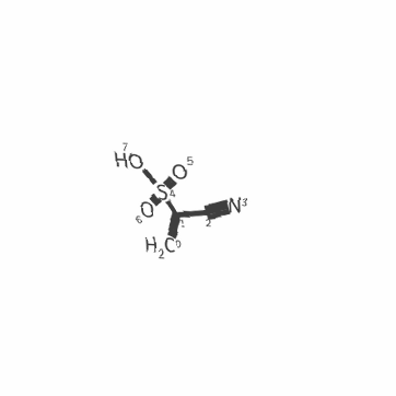 C=C(C#N)S(=O)(=O)O